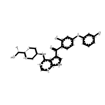 C[C@@H](O)[C@@H]1CC[C@@H](Nc2ncnc3[nH]cc(C(=O)c4ccc(Oc5cccc(Cl)c5)cc4Cl)c23)CO1